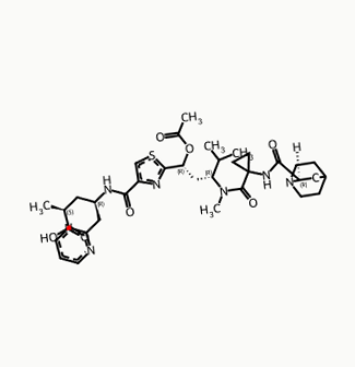 CC(=O)O[C@H](C[C@H](C(C)C)N(C)C(=O)C1(NC(=O)[C@H]2CC3CCN2CC3)CC1)c1nc(C(=O)N[C@@H](Cc2ncccn2)C[C@H](C)C(=O)O)cs1